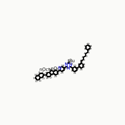 CCCCCCCCC1(CCCCCCCC)c2cc(-c3ccc4ccccc4c3)ccc2-c2ccc(-c3ccc(-c4nc(-c5cccc(-c6cccc(CCCCCCc7ccccc7)c6)c5)nc(C(C)(C)C)n4)cn3)cc21